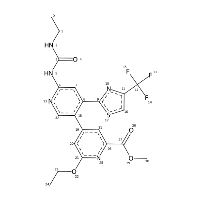 CCNC(=O)Nc1cc(-c2nc(C(F)(F)F)cs2)c(-c2cc(OCC)nc(C(=O)OC)c2)cn1